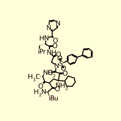 CC[C@H](C)[C@H](N)C(=O)C(C[C@@](N)(C(=O)C(=O)N(CC(=O)NC(=O)[C@H](CC(C)C)NC(=O)c1cnccn1)S(=O)(=O)c1ccc(-c2ccccc2)cc1)C1CCCCC1)C(=O)[C@H](C)N